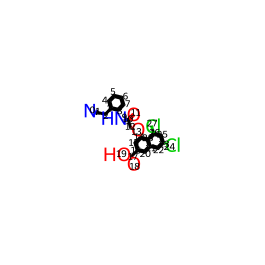 N#CCc1ccccc1NC(=O)COc1cc(C(=O)O)cc2cc(Cl)cc(Cl)c12